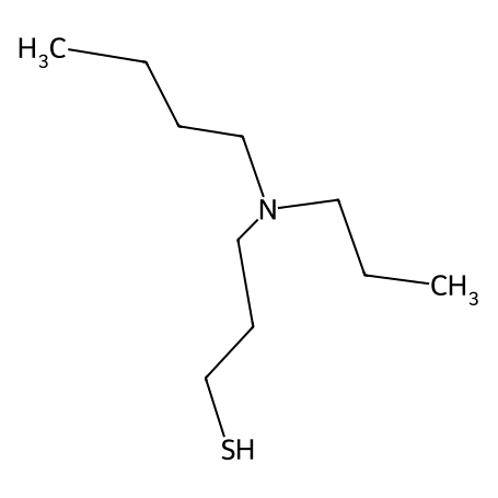 CCCCN(CCC)CCCS